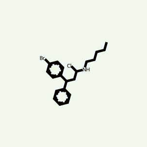 CCCCCNC(Cl)CC(c1ccccc1)c1ccc(Br)cc1